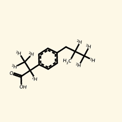 [2H]C([2H])([2H])C([2H])(C)Cc1ccc(C([2H])(C(=O)O)C([2H])([2H])[2H])cc1